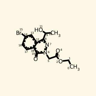 CCOC(=O)Cn1nc(C(C)O)c2cc(Br)ccc2c1=O